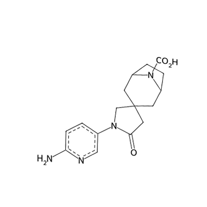 Nc1ccc(N2CC3(CC2=O)CC2CCC(C3)N2C(=O)O)cn1